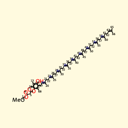 COCOC(=O)CC(=O)Oc1c(C)c(C)c(O)c(C/C=C(\C)CC/C=C(\C)CC/C=C(\C)CC/C=C(\C)CC/C=C(\C)CC/C=C(\C)CC/C=C(\C)CC/C=C(\C)CC/C=C(\C)CCC=C(C)C)c1C